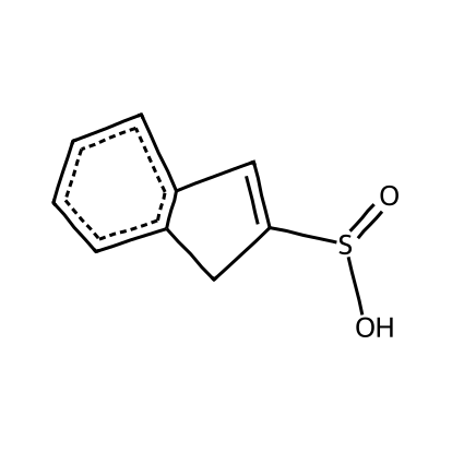 O=S(O)C1=Cc2ccccc2C1